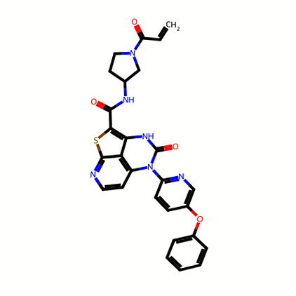 C=CC(=O)N1CCC(NC(=O)c2sc3nccc4c3c2NC(=O)N4c2ccc(Oc3ccccc3)cn2)C1